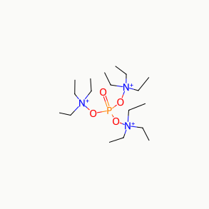 CC[N+](CC)(CC)OP(=O)(O[N+](CC)(CC)CC)O[N+](CC)(CC)CC